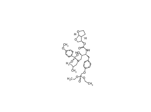 CCOP(=O)(COc1ccc(C[C@H](NC(=O)O[C@H]2CO[C@H]3OCC[C@H]32)[C@H](O)CN(CC(C)C)S(=O)(=O)c2ccc(OC)cc2)cc1)OCC